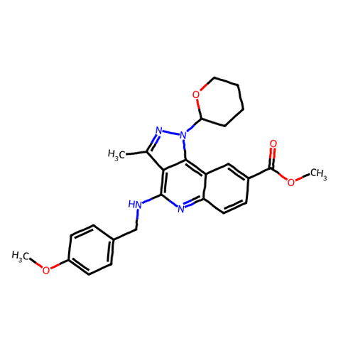 COC(=O)c1ccc2nc(NCc3ccc(OC)cc3)c3c(C)nn(C4CCCCO4)c3c2c1